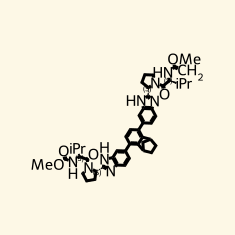 C=C(N[C@H](C(=O)N1CCC[C@H]1c1nc2ccc(-c3ccc(-c4ccc5nc([C@@H]6CCCN6C(=O)[C@@H](NC(=O)OC)C(C)C)[nH]c5c4)c4c3C3CCC4C3)cc2[nH]1)C(C)C)OC